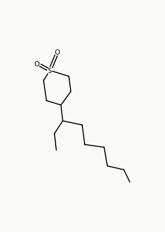 CCCCCCC(CC)C1CCS(=O)(=O)CC1